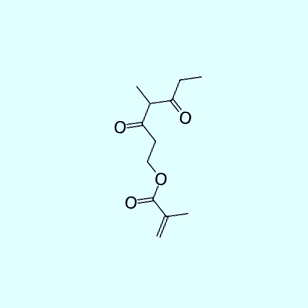 C=C(C)C(=O)OCCC(=O)C(C)C(=O)CC